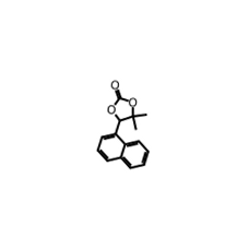 CC1(C)OC(=O)OC1c1cccc2ccccc12